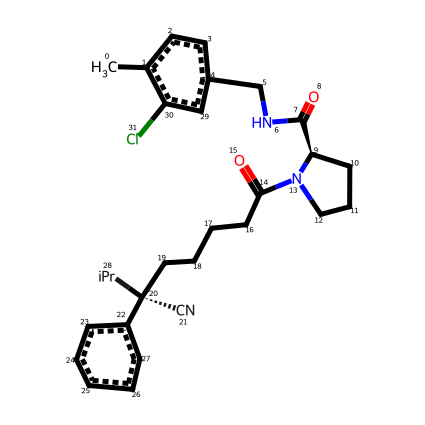 Cc1ccc(CNC(=O)[C@H]2CCCN2C(=O)CCCC[C@@](C#N)(c2ccccc2)C(C)C)cc1Cl